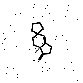 C=C1CCC2=CC3(CC[C@]12C)SCCS3